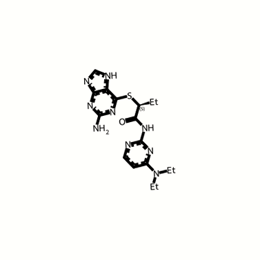 CC[C@H](Sc1nc(N)nc2nc[nH]c12)C(=O)Nc1nccc(N(CC)CC)n1